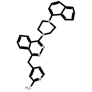 Cc1cc(Cc2nnc(N3CCN(c4cccc5ccccc45)CC3)c3ccccc23)ccn1